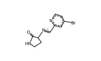 O=C1NCCC1/N=C/c1cc(Br)ccn1